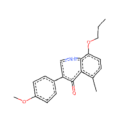 CCCOc1ccc(C)c2c(=O)c(-c3ccc(OC)cc3)c[nH]c12